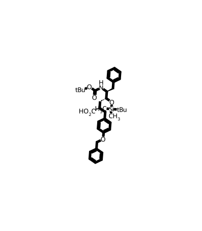 CC(C)(C)OC(=O)N[C@@H](Cc1ccccc1)[C@@H](C[C@H](Cc1ccc(OCc2ccccc2)cc1)C(=O)O)O[Si](C)(C)C(C)(C)C